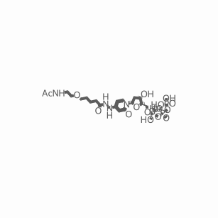 CC(=O)NCCOCCCCC(=O)NNc1ccn([C@H]2C[C@H](O)[C@@H](COP(=O)(O)OP(=O)(O)OP(=O)(O)O)O2)c(=O)c1